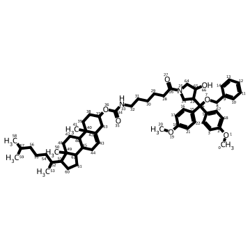 COc1ccc(C(OCc2ccccc2)(c2ccc(OC)cc2)C2CN(C(=O)CCCCCNC(=O)OC3CCC4(C)C(=CCC5C4CCC4(C)C(C(C)CCCC(C)C)CCC54)C3)CC2O)cc1